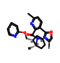 Cc1coc(-c2ccc(C)nc2C(=O)N2[C@@H]3CC[C@H]2[C@H](COc2ccccn2)C3)n1